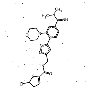 CN(C)C(=N)c1ccc(-c2cc(CNC(=O)C3=CCC(Cl)S3)on2)c(N2CCOCC2)c1